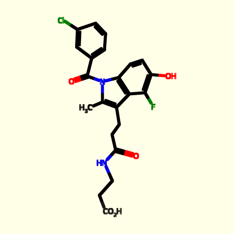 Cc1c(CCC(=O)NCCC(=O)O)c2c(F)c(O)ccc2n1C(=O)c1cccc(Cl)c1